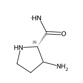 [NH]C(=O)[C@H]1NCCC1N